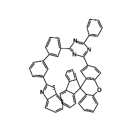 c1ccc(-c2nc(-c3cccc(-c4cccc(-c5nc6ccccc6s5)c4)c3)nc(-c3ccc4c(c3)C3(c5ccccc5O4)c4ccccc4-c4ccccc43)n2)cc1